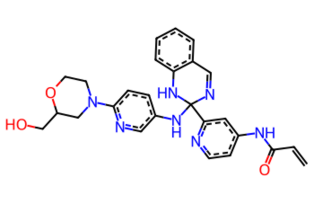 C=CC(=O)Nc1ccnc(C2(Nc3ccc(N4CCOC(CO)C4)nc3)N=Cc3ccccc3N2)c1